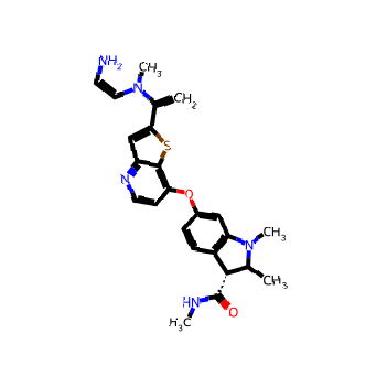 C=C(c1cc2nccc(Oc3ccc4c(c3)N(C)C(C)[C@@H]4C(=O)NC)c2s1)N(C)/C=C\N